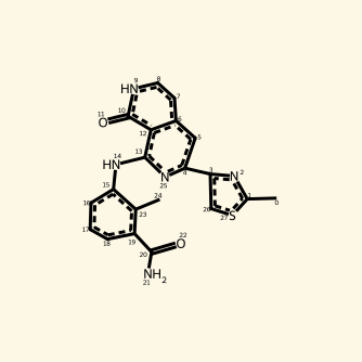 Cc1nc(-c2cc3cc[nH]c(=O)c3c(Nc3cccc(C(N)=O)c3C)n2)cs1